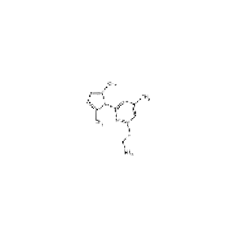 Cc1cc(CCN)nc(-n2c(C)ccc2C)c1